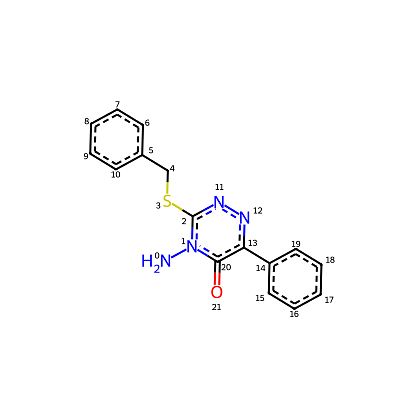 Nn1c(SCc2ccccc2)nnc(-c2ccccc2)c1=O